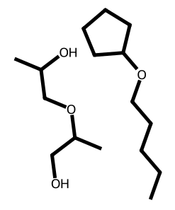 CC(O)COC(C)CO.CCCCCOC1CCCC1